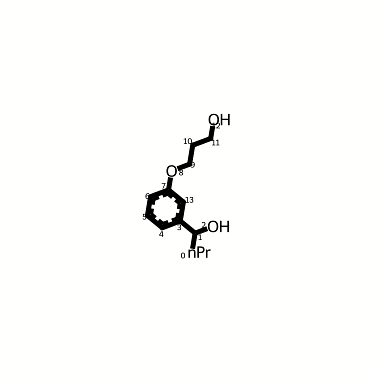 CCCC(O)c1cccc(OCCCO)c1